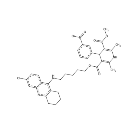 COC(=O)C1=C(C)NC(C)=C(C(=O)OCCCCCNc2c3c(nc4cc(Cl)ccc24)CCCC3)C1c1cccc([N+](=O)[O-])c1